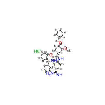 CCOc1cc([C@H](Nc2ccc(C(=N)N)cc2)C(=O)NC(c2ccccc2)c2ccccc2)ccc1OCc1ccccc1.Cl